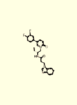 CC[C@H](Cn1cc(-c2ccc(F)c(F)c2)ccc1=O)NC(=O)CCn1cnc2ccccc21